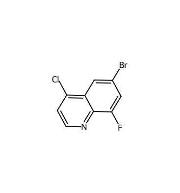 Fc1cc(Br)cc2c(Cl)ccnc12